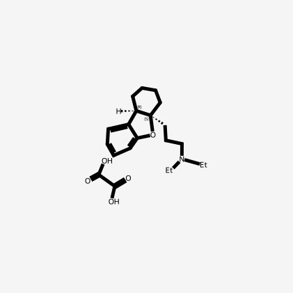 CCN(CC)CCC[C@@]12CCCC[C@@H]1c1ccccc1O2.O=C(O)C(=O)O